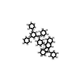 c1ccc(-c2cc(-c3ccccc3)cc(N(c3ccccc3)c3cccc(-c4c5ccccc5cc5c4c4ccccc4n5-c4ccccc4)c3)c2)cc1